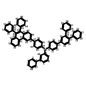 c1ccc(-c2cccc(N(c3ccc(-c4ccc(-c5ccccc5)c(-c5ccccc5)c4)cc3)c3ccc(-c4ccc5c(-c6ccccc6)c(-c6ccccc6)c6ccccc6c5c4)cc3)c2)cc1